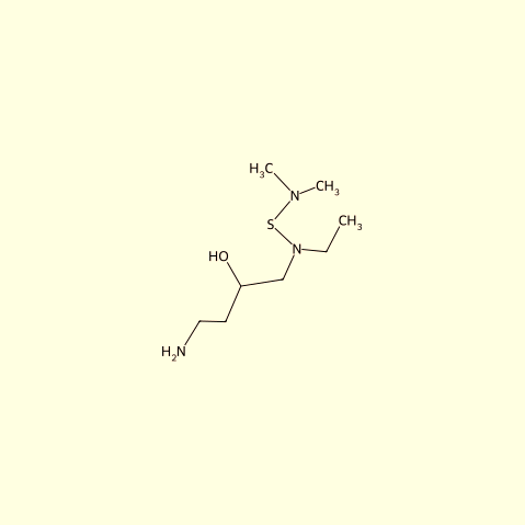 CCN(CC(O)CCN)SN(C)C